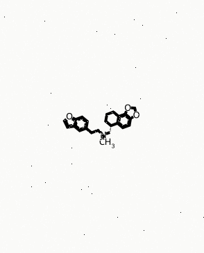 CN(CCc1ccc2occc2c1)C[C@@H]1CCCc2c1ccc1c2OCO1